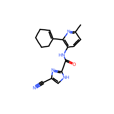 Cc1ccc(NC(=O)c2nc(C#N)c[nH]2)c(C2=CCCCC2)n1